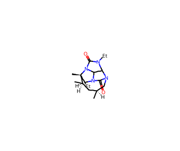 CC[C@@H]1N2C(=O)N3C[C@@H](C)C[C@@H](C)[C@]1(C)N1C(=O)N(CC)C3C21